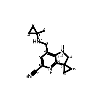 CC1(NCc2cc(C#N)nc3c2NCC32CC2)CC1